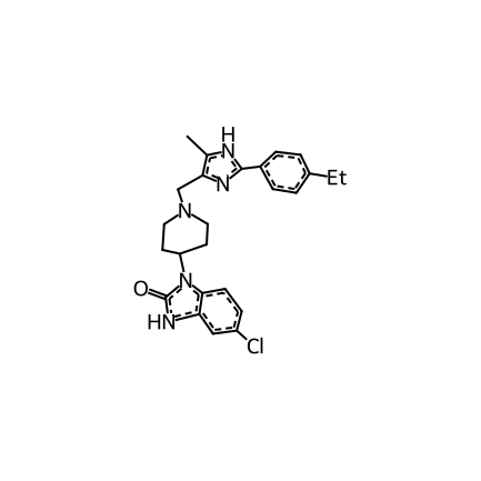 CCc1ccc(-c2nc(CN3CCC(n4c(=O)[nH]c5cc(Cl)ccc54)CC3)c(C)[nH]2)cc1